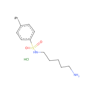 CC(C)c1ccc(S(=O)(=O)NCCCCCN)cc1.Cl